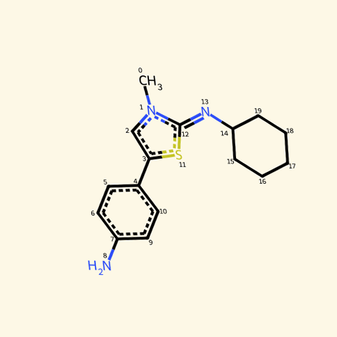 Cn1cc(-c2ccc(N)cc2)sc1=NC1CCCCC1